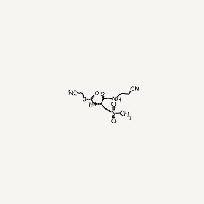 CS(=O)(=O)CC(NC(=O)OCC#N)C(=O)NCCC#N